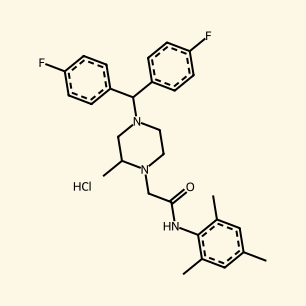 Cc1cc(C)c(NC(=O)CN2CCN(C(c3ccc(F)cc3)c3ccc(F)cc3)CC2C)c(C)c1.Cl